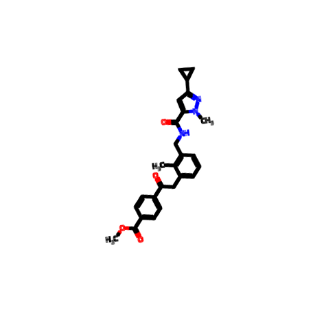 COC(=O)c1ccc(C(=O)Cc2cccc(CNC(=O)c3cc(C4CC4)nn3C)c2C)cc1